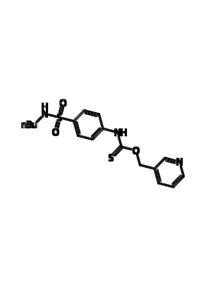 CCCCNS(=O)(=O)c1ccc(NC(=S)OCc2cccnc2)cc1